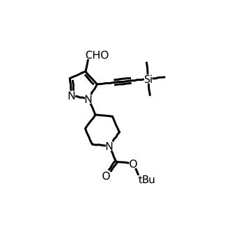 CC(C)(C)OC(=O)N1CCC(n2ncc(C=O)c2C#C[Si](C)(C)C)CC1